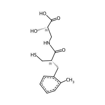 Cc1ccccc1C[C@H](CS)C(=O)NC[C@H](O)C(=O)O